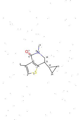 Cc1csc2c1C(=O)N(C)CC2C1CC1